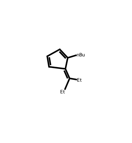 CCCCC1=CC=CC1=C(CC)CC